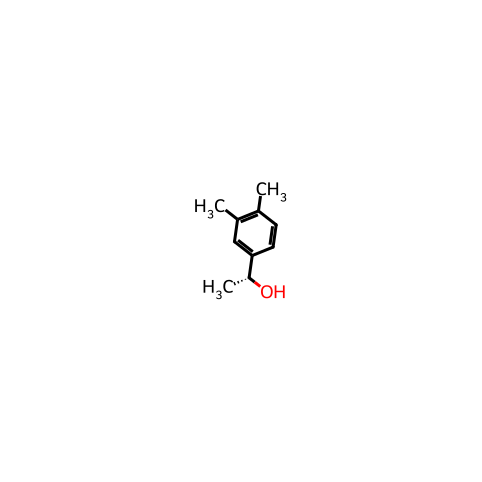 Cc1ccc([C@@H](C)O)cc1C